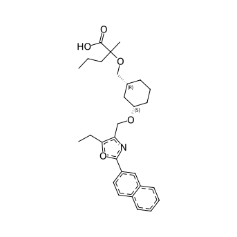 CCCC(C)(OC[C@@H]1CCC[C@H](OCc2nc(-c3ccc4ccccc4c3)oc2CC)C1)C(=O)O